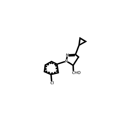 O=CC1CC(C2CC2)=NN1c1cccc(Cl)c1